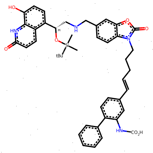 CC(C)(C)[Si](C)(C)O[C@@H](CNCc1ccc2c(c1)oc(=O)n2CCCC=Cc1ccc(-c2ccccc2)c(NC(=O)O)c1)c1ccc(O)c2[nH]c(=O)ccc12